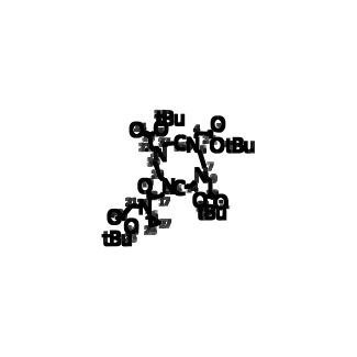 CC(C)(C)OC(=O)CN1CCN(CC(=O)OC(C)(C)C)CCN(CC(=O)N(CC(=O)OC(C)(C)C)C2CC2)CCN(CC(=O)OC(C)(C)C)CC1